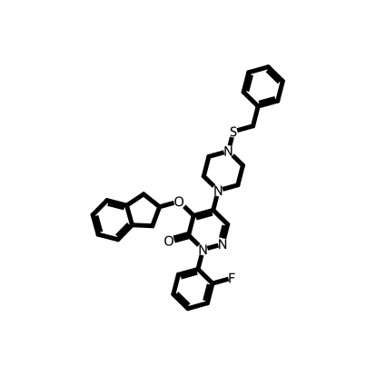 O=c1c(OC2Cc3ccccc3C2)c(N2CCN(SCc3ccccc3)CC2)cnn1-c1ccccc1F